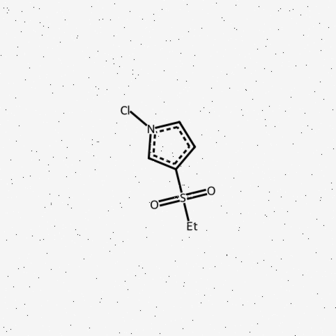 CCS(=O)(=O)c1ccn(Cl)c1